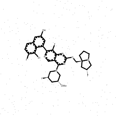 CCc1c(F)ccc2cc(O)cc(-c3ncc4c(N5C[C@H](F)C[C@@H](OC)C5)nc(OC[C@@]56CCCN5C[C@H](F)C6)nc4c3F)c12